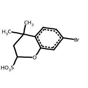 CC1(C)CC(S(=O)(=O)O)Oc2cc(Br)ccc21